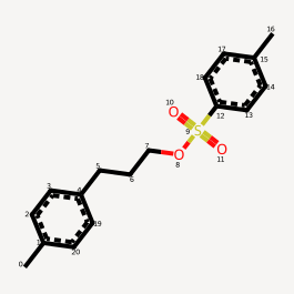 Cc1ccc(CCCOS(=O)(=O)c2ccc(C)cc2)cc1